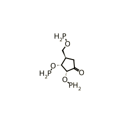 O=C1C[C@H](COP)[C@@H](OP)[C@H]1OP